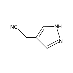 N#CCc1cn[nH]c1